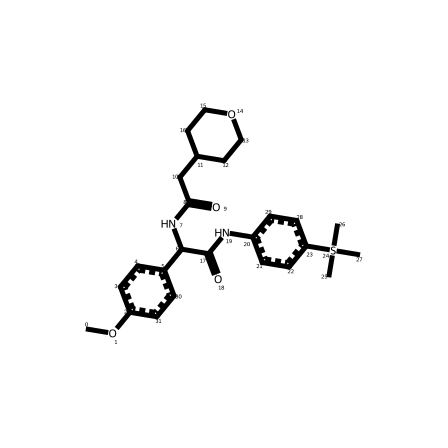 COc1ccc(C(NC(=O)CC2CCOCC2)C(=O)Nc2ccc(S(C)(C)C)cc2)cc1